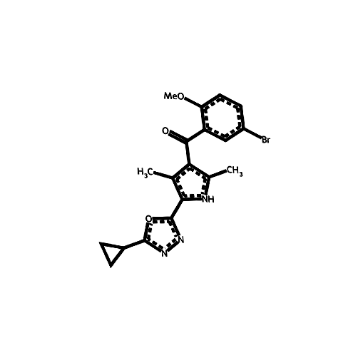 COc1ccc(Br)cc1C(=O)c1c(C)[nH]c(-c2nnc(C3CC3)o2)c1C